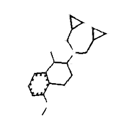 COc1cccc2c1CCC(N(CC1CC1)CC1CC1)C2C.Cl